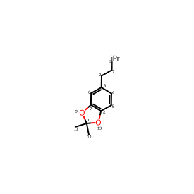 CC(C)CCc1ccc2c(c1)OC(C)(C)O2